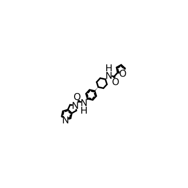 O=C(N[C@H]1CC[C@@H](c2ccc(NC(=O)N3Cc4ccncc4C3)cc2)CC1)c1ccco1